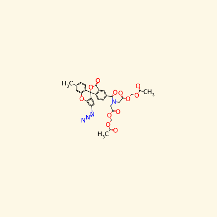 CC(=O)OCOC(=O)CN(CC(=O)OCOC(C)=O)C(=O)c1ccc2c(c1)C(=O)OC21c2ccc(C)cc2Oc2cc(N=[N+]=[N-])ccc21